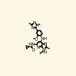 COc1cc(-c2nc(C)nn2C)ccc1Nc1cc(NC(=O)C2CC2)nc2c1nc(C)n2PI